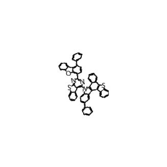 c1ccc(-c2ccc3c(c2)c2c4c5ccccc5sc4c4ccccc4c2n3-c2nc(-c3ccc(-c4ccccc4)c4c3oc3ccccc34)nc3sc4ccccc4c23)cc1